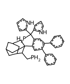 PCC1C2CC3CC(C2)CC1(c1cc(-c2ccccc2)c(-c2ccccc2)cc1C(P)(c1ccc[nH]1)c1ccc[nH]1)C3